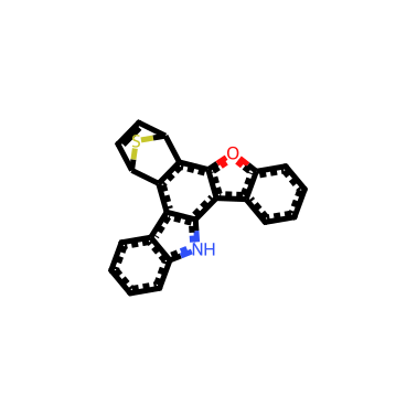 C1=CC2SC1c1c2c2c3ccccc3[nH]c2c2c1oc1ccccc12